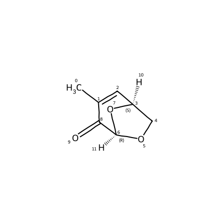 CC1=C[C@H]2CO[C@H](O2)C1=O